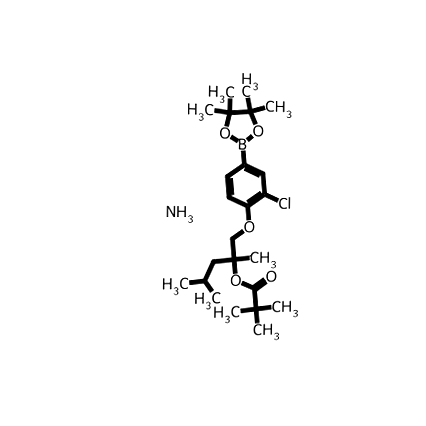 CC(C)CC(C)(COc1ccc(B2OC(C)(C)C(C)(C)O2)cc1Cl)OC(=O)C(C)(C)C.N